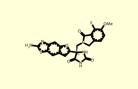 COc1ccc2c(c1F)C(=O)N(C[C@@]1(c3cc4cc5sc(N)nc5cc4o3)NC(=O)NC1=O)C2